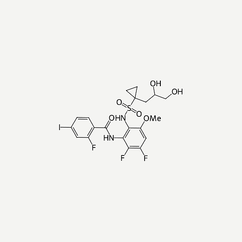 COc1cc(F)c(F)c(NC(=O)c2ccc(I)cc2F)c1NS(=O)(=O)C1(CC(O)CO)CC1